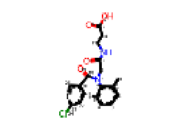 Cc1cccc(C)c1N(CC(=O)NCCC(=O)O)C(=O)c1ccc(Cl)cc1